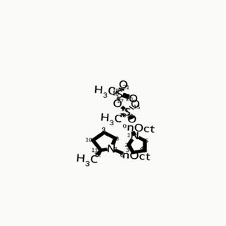 CCCCCCCCN1CCCC1.CCCCCCCCN1CCCC1C.CS(=O)(=O)OS(C)(=O)=O